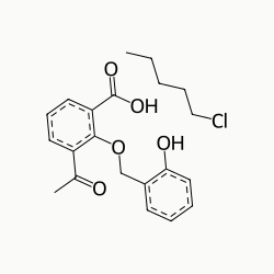 CC(=O)c1cccc(C(=O)O)c1OCc1ccccc1O.CCCCCCl